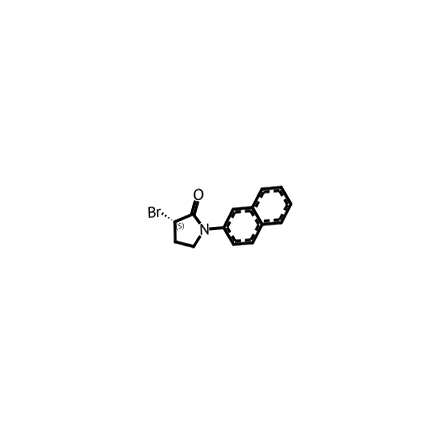 O=C1[C@@H](Br)CCN1c1ccc2ccccc2c1